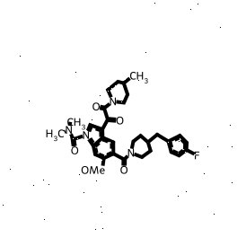 COc1cc2c(cc1C(=O)N1CCC(Cc3ccc(F)cc3)CC1)c(C(=O)C(=O)N1CCC(C)CC1)cn2C(=O)N(C)C